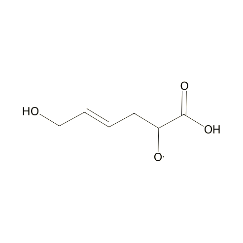 [O]C(CC=CCO)C(=O)O